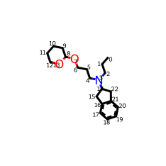 CCCN(CCCOC1CCCCO1)C1Cc2ccccc2C1